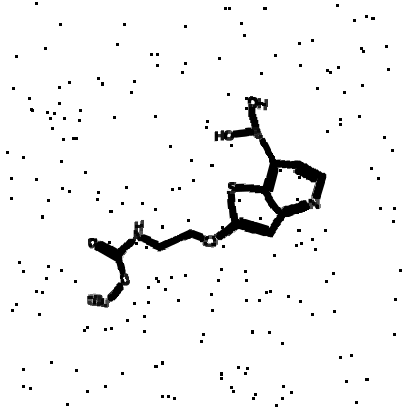 CC(C)(C)OC(=O)NCCOc1cc2nccc(B(O)O)c2s1